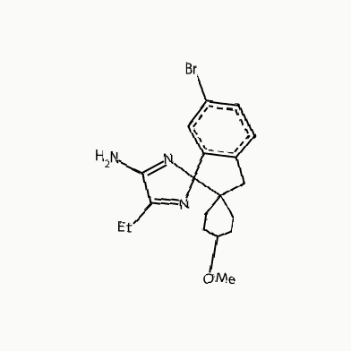 CCC1=NC2(N=C1N)c1cc(Br)ccc1CC21CCC(OC)CC1